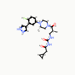 C[C@@H](CNC(=O)NC(=O)CC1CC1)C(=O)N1CCN(c2ccc(F)c(-c3cn[nH]c3)c2)[C@@H](C)C1